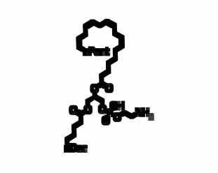 CCCCC/C=C\C/C=C\C/C=C\C/C=C\CCCCCC(=O)O[C@H](COC(=O)CCCCCCCCCCCCCC)COP(=O)(O)OCCN